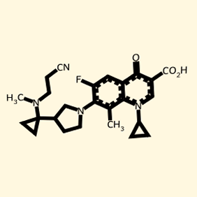 Cc1c(N2CCC(C3(N(C)CCC#N)CC3)C2)c(F)cc2c(=O)c(C(=O)O)cn(C3CC3)c12